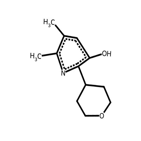 Cc1cc(O)c(C2CCOCC2)nc1C